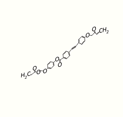 C=CC(=O)COc1ccc(C#Cc2ccc(C(=O)Oc3ccc(OCOC(=O)C=C)cc3)cc2)cc1